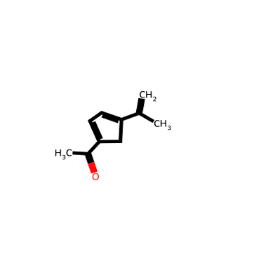 C=C(C)C1=CC=C(C(C)=O)C1